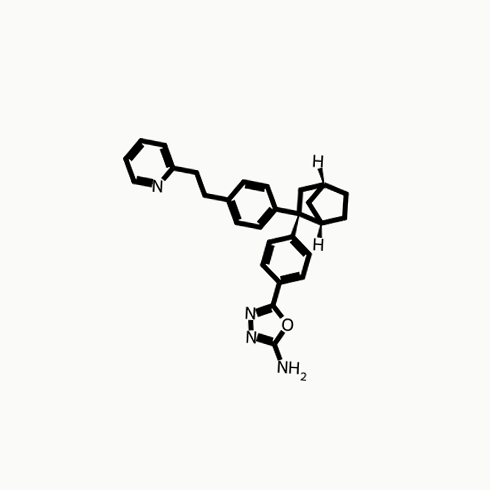 Nc1nnc(-c2ccc([C@@]3(c4ccc(CCc5ccccn5)cc4)C[C@@H]4CC[C@H]3C4)cc2)o1